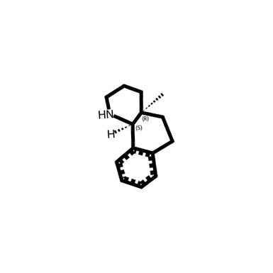 C[C@@]12CCCN[C@@H]1c1ccccc1CC2